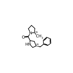 C[C@@H]1CCCN1C(=O)C1C[C@@H](Cc2ccccc2)CN1